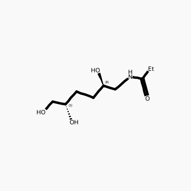 CCC(=O)NC[C@H](O)CC[C@H](O)CO